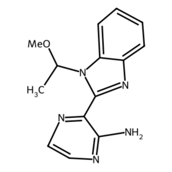 COC(C)n1c(-c2nccnc2N)nc2ccccc21